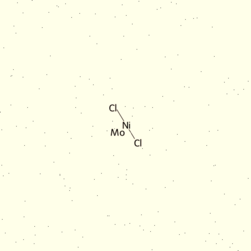 [Cl][Ni][Cl].[Mo]